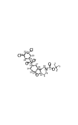 CC(C)(C)OC(=O)N1CCc2oc3ccc(S(=O)(=O)c4cc(Cl)cc(Cl)c4)cc3c2C1